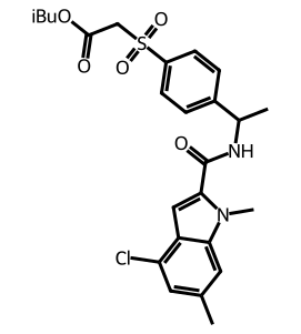 Cc1cc(Cl)c2cc(C(=O)NC(C)c3ccc(S(=O)(=O)CC(=O)OCC(C)C)cc3)n(C)c2c1